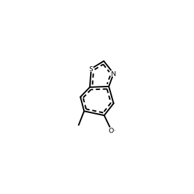 Cc1cc2scnc2cc1[O]